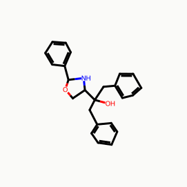 OC(Cc1ccccc1)(Cc1ccccc1)C1COC(c2ccccc2)N1